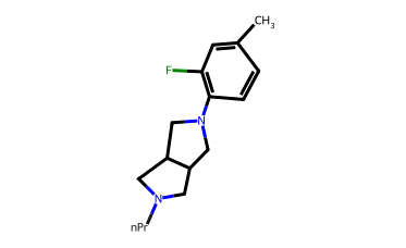 CCCN1CC2CN(c3ccc(C)cc3F)CC2C1